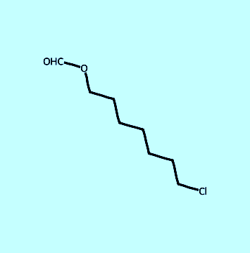 O=COCCCCCCCCl